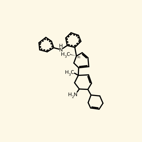 CC1(C2=CC=C[C@](C)(c3ccccc3Nc3ccccc3)C2)C=CC(C2CC=CCC2)C(N)C1